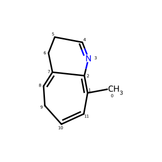 CC1=C2N=CCCC2=CCC=C1